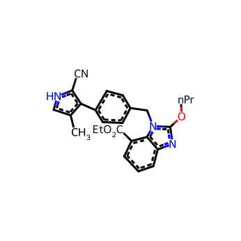 CCCOc1nc2cccc(C(=O)OCC)c2n1Cc1ccc(-c2c(C)c[nH]c2C#N)cc1